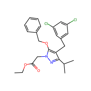 CCOC(=O)Cn1nc(C(C)C)c(Cc2cc(Cl)cc(Cl)c2)c1OCc1ccccc1